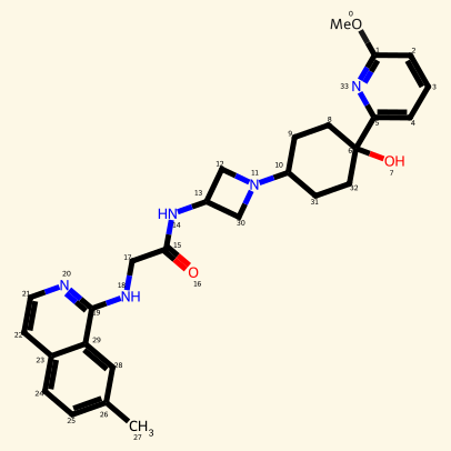 COc1cccc(C2(O)CCC(N3CC(NC(=O)CNc4nccc5ccc(C)cc45)C3)CC2)n1